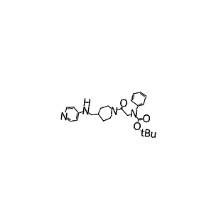 CC(C)(C)OC(=O)N(CC(=O)N1CCC(CNc2ccncc2)CC1)c1ccccc1